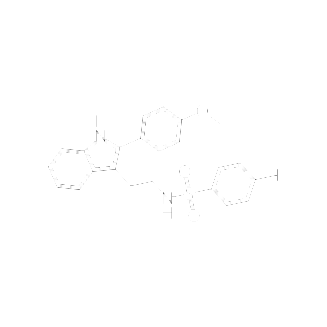 COc1ccc(-c2[nH]c3ccccc3c2CCNS(=O)(=O)c2ccc(I)cc2)cc1